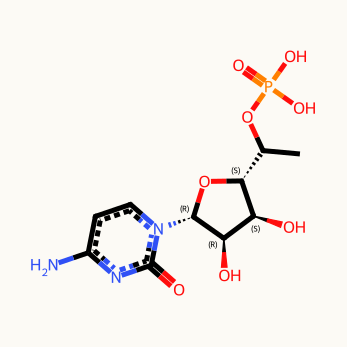 CC(OP(=O)(O)O)[C@H]1O[C@@H](n2ccc(N)nc2=O)[C@H](O)[C@@H]1O